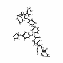 c1ccc(-c2ccc(N(c3ccc(-c4ccc5ccccc5c4)cc3)c3cccc(-c4ccc(-n5c6ccccc6c6oc7ccccc7c65)cc4)c3)cc2)cc1